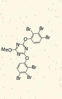 COc1nc(Oc2ccc(Br)c(Br)c2Br)nc(Oc2ccc(Br)c(Br)c2Br)n1